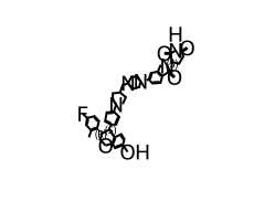 Cc1cc(F)ccc1[C@@H]1COc2cc(O)ccc2[C@@H]1c1ccc(N2CCC(CN3CCN(c4ccc5c(c4)CN([C@H]4CCC(=O)NC4=O)C5=O)CC3)CC2)cc1